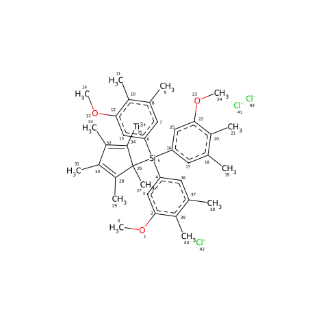 COc1cc([Si](c2cc(C)c(C)c(OC)c2)(c2cc(C)c(C)c(OC)c2)C2(C)C(C)=C(C)C(C)=[C]2[Ti+3])cc(C)c1C.[Cl-].[Cl-].[Cl-]